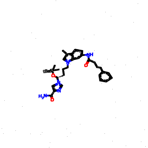 Cc1cn(CCC[C@@H](O[Si](C)(C)C(C)(C)C)n2cnc(C(N)=O)c2)c2cc(NC(=O)CCCc3ccccc3)ccc12